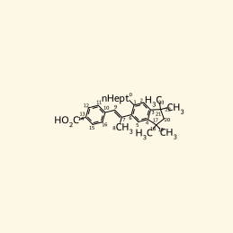 CCCCCCCc1cc2c(cc1C(C)=Cc1ccc(C(=O)O)cc1)C(C)(C)CC2(C)C